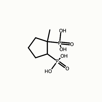 CC1(P(=O)(O)O)CCCC1P(=O)(O)O